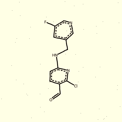 O=Cc1ccc(NCc2cncc(F)c2)nc1Cl